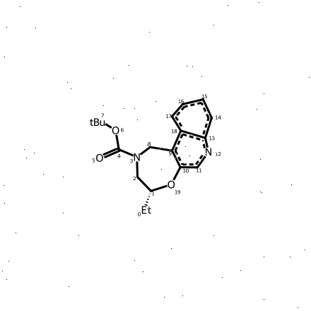 CC[C@@H]1CN(C(=O)OC(C)(C)C)Cc2c(cnc3ccccc23)O1